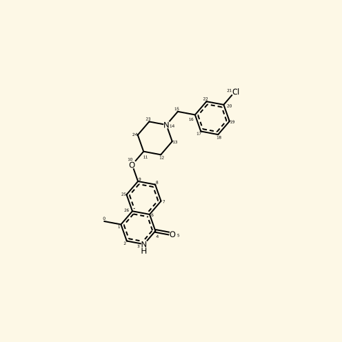 Cc1c[nH]c(=O)c2ccc(OC3CCN(Cc4cccc(Cl)c4)CC3)cc12